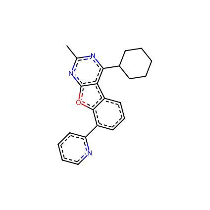 Cc1nc(C2CCCCC2)c2c(n1)oc1c(-c3ccccn3)cccc12